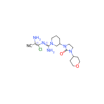 N#C/C(N)=C(Cl)/N=C(\N)N1CCCC(N2CCN(C3CCOCC3)C2=O)C1